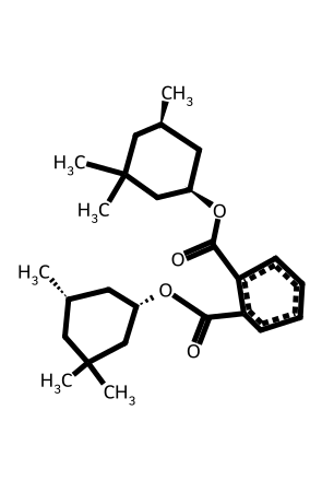 C[C@@H]1C[C@H](OC(=O)c2ccccc2C(=O)O[C@@H]2C[C@H](C)CC(C)(C)C2)CC(C)(C)C1